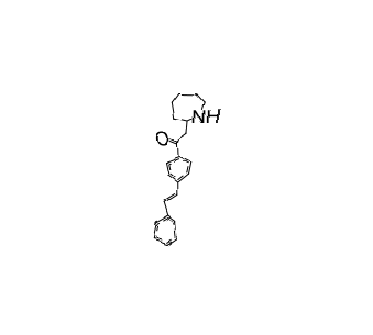 O=C(CC1CCCCCN1)c1ccc(/C=C/c2ccccc2)cc1